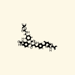 Cc1cc2nc(C(C)C)[nH]c2nc1-c1ccc(C[C@H](N)C(=O)N(c2ccc3[nH]c(=O)[nH]c3c2)C(=O)[C@H]2CC[C@H](CNC(=O)OC(C)(C)C)CC2)cc1